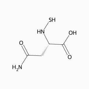 NC(=O)C[C@H](NS)C(=O)O